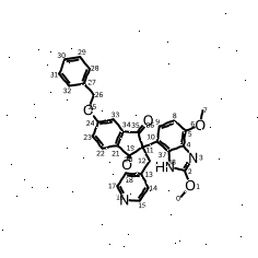 COc1nc2c(OC)ccc(C3(Cc4ccncc4)C(=O)c4ccc(OCc5ccccc5)cc4C3=O)c2[nH]1